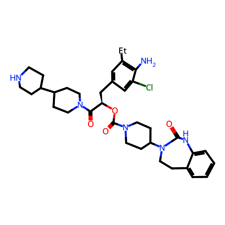 CCc1cc(C[C@@H](OC(=O)N2CCC(N3CCc4ccccc4NC3=O)CC2)C(=O)N2CCC(C3CCNCC3)CC2)cc(Cl)c1N